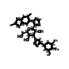 Cc1nc2cc(C)c(-n3ncnc3[C@@H]3O[C@H](CO)[C@H](O)[C@H](n4cc(-c5cc(F)c(F)c(F)c5)nn4)[C@H]3O)cc2s1